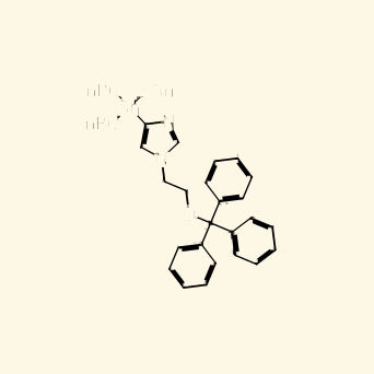 CCC[CH2][Sn]([CH2]CCC)([CH2]CCC)[c]1cn(CCOC(c2ccccc2)(c2ccccc2)c2ccccc2)cn1